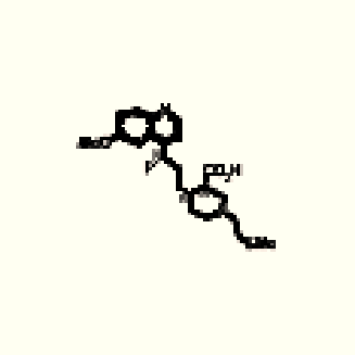 COc1ccc2nccc([C@@H](F)CC[C@@H]3CCN(CCSC)C[C@@H]3C(=O)O)c2c1